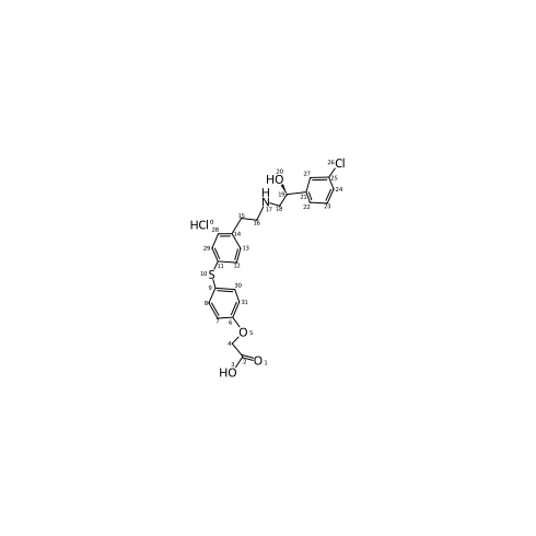 Cl.O=C(O)COc1ccc(Sc2ccc(CCNC[C@@H](O)c3cccc(Cl)c3)cc2)cc1